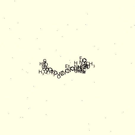 CCc1cc(Nc2ncc(Br)c(Nc3cnc4c(F)cccc4c3P(C)(C)=O)n2)c(OC)cc1N1CCC(N2CCN(C(=O)C3CCN(c4ccc5c(c4)C(C)(C)C(=O)N5C4CCC(=O)NC4=O)CC3)CC2)CC1